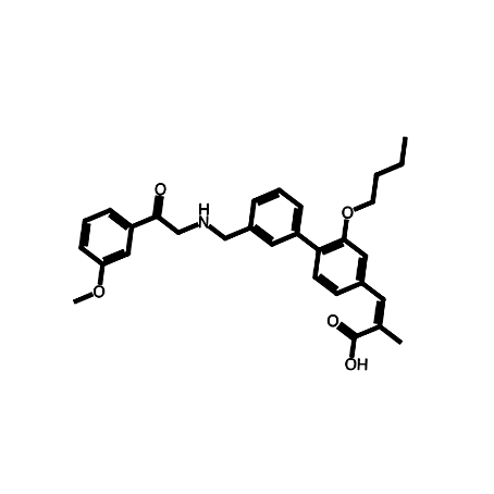 CCCCOc1cc(C=C(C)C(=O)O)ccc1-c1cccc(CNCC(=O)c2cccc(OC)c2)c1